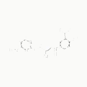 N/C(=C\Nc1ccc(F)c(C(F)F)c1)COc1nccc(N)n1